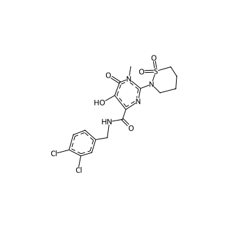 Cn1c(N2CCCCS2(=O)=O)nc(C(=O)NCc2ccc(Cl)c(Cl)c2)c(O)c1=O